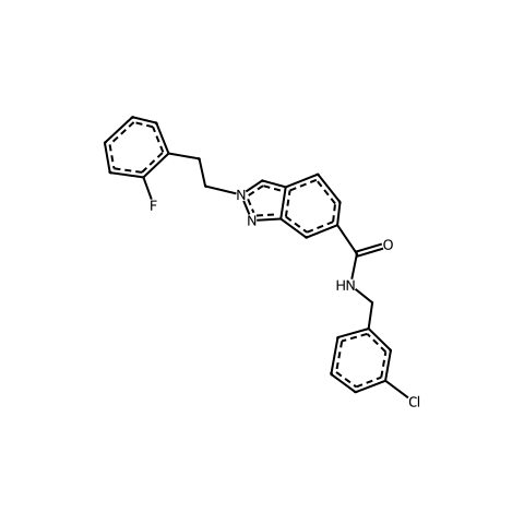 O=C(NCc1cccc(Cl)c1)c1ccc2cn(CCc3ccccc3F)nc2c1